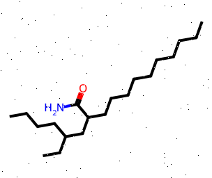 CCCCCCCCCCC(CC(CC)CCCC)C(N)=O